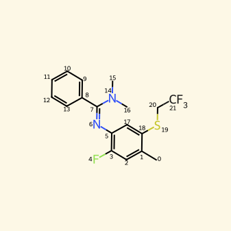 Cc1cc(F)c(/N=C(/c2ccccc2)N(C)C)cc1SCC(F)(F)F